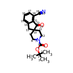 CC(C)(C)OC(=O)N1CCC2(CC1)Cc1cccc(C#N)c1C2=O